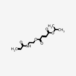 C=CC(=O)NCCOC(=O)/C=C/C(=O)OC(C)C